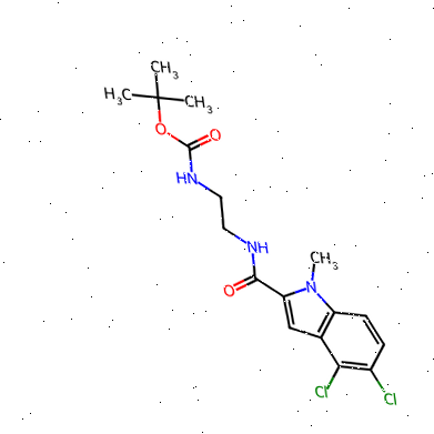 Cn1c(C(=O)NCCNC(=O)OC(C)(C)C)cc2c(Cl)c(Cl)ccc21